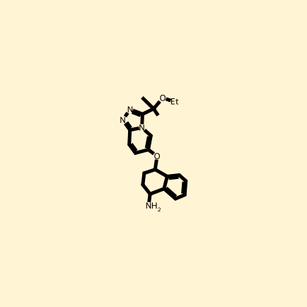 CCOC(C)(C)c1nnc2ccc(OC3CCC(N)c4ccccc43)cn12